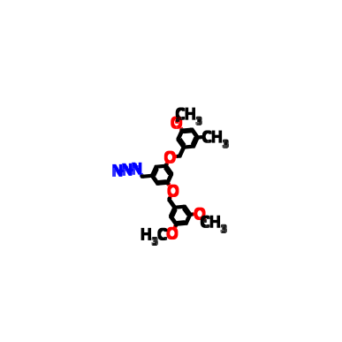 COc1cc(C)cc(COc2cc(CN=[N+]=[N-])cc(OCc3cc(OC)cc(OC)c3)c2)c1